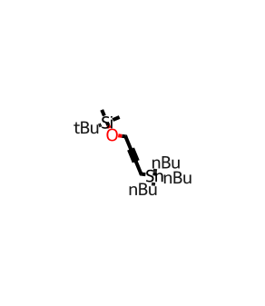 CCC[CH2][Sn]([CH2]C#CCO[Si](C)(C)C(C)(C)C)([CH2]CCC)[CH2]CCC